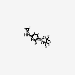 Cc1nc(NC2CC2)ccc1B1OC(C)(C)C(C)(C)O1